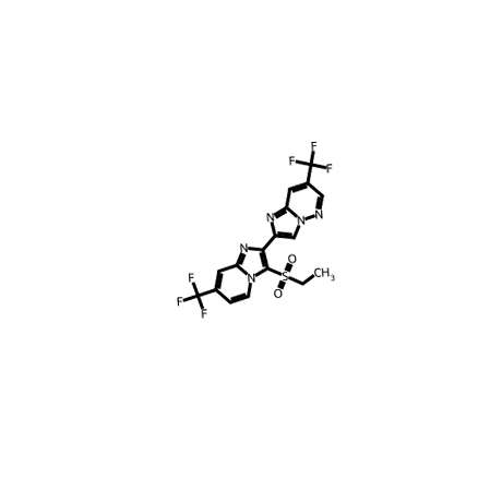 CCS(=O)(=O)c1c(-c2cn3ncc(C(F)(F)F)cc3n2)nc2cc(C(F)(F)F)ccn12